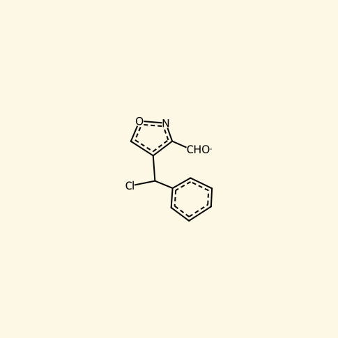 O=[C]c1nocc1C(Cl)c1ccccc1